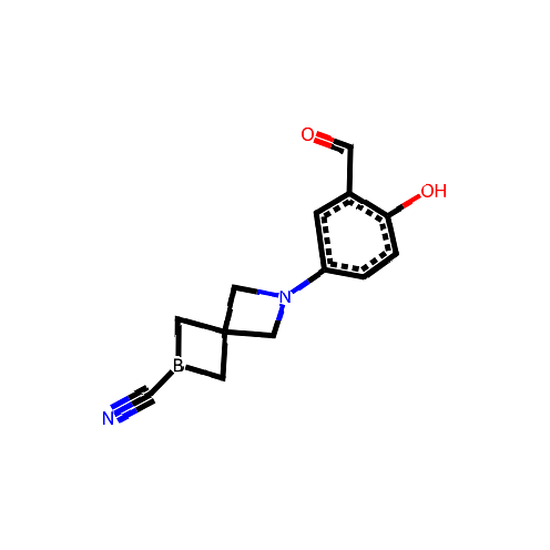 N#CB1CC2(C1)CN(c1ccc(O)c(C=O)c1)C2